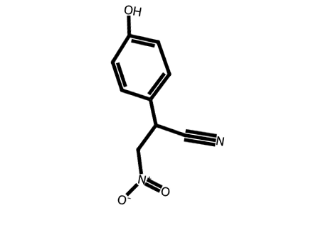 N#CC(C[N+](=O)[O-])c1ccc(O)cc1